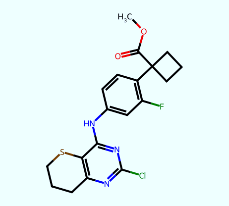 COC(=O)C1(c2ccc(Nc3nc(Cl)nc4c3SCCC4)cc2F)CCC1